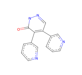 O=C1[N]N=CC(c2cccnc2)=C1c1cccnc1